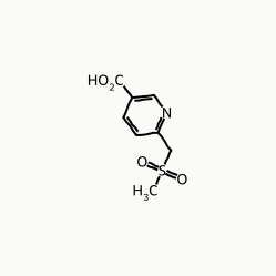 CS(=O)(=O)Cc1ccc(C(=O)O)cn1